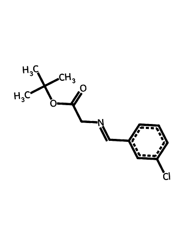 CC(C)(C)OC(=O)C/N=C/c1cccc(Cl)c1